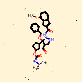 COc1cccc2c1CC(C(=O)NN1NCC(C=O)C1(OCc1ccccc1)C1CCC(OC(=O)NN(C)C)C1)=C2